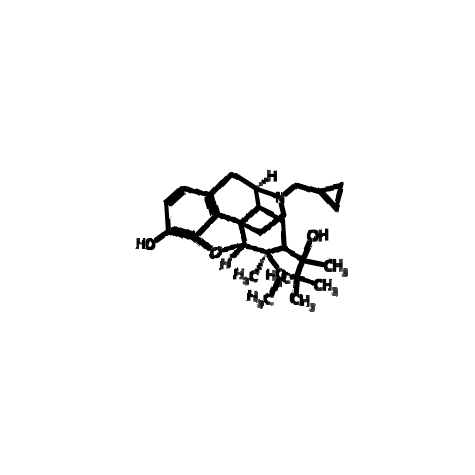 CO[C@]1(C)C(C(C)(O)C(C)(C)C)CC2[C@H]3Cc4ccc(O)c5c4[C@@]2(CCN3CC2CC2)[C@H]1O5